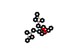 c1ccc(N(c2cccc(-c3ccc4c5c(ccc4c3)-c3ccc4cc(-c6cccc(N(c7ccccc7)c7cccc8c7sc7ccccc78)c6)cc6c4c3C53c4ccc5ccccc5c4-c4cccc-6c43)c2)c2cccc3c2sc2ccccc23)cc1